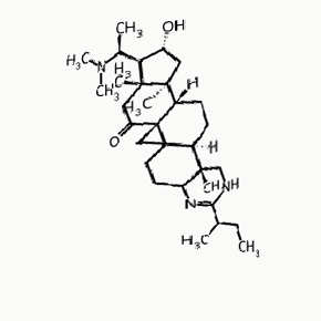 CCC(C)C1=NC2CCC34C[C@]35C(=O)C[C@]3(C)[C@@H]([C@H](C)N(C)C)[C@H](O)C[C@@]3(C)[C@@H]5CC[C@H]4[C@]2(C)CN1